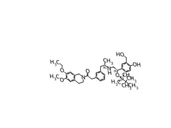 CCOc1cc2c(cc1OC)CCN(C(=O)Cc1cccc(C[C@@H](C)NC[C@H](O[Si](C)(C)C(C)(C)C)c3ccc(O)c(CO)c3)c1)C2